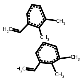 C=Cc1cccc(C)c1C.C=Cc1cccc(C)c1C